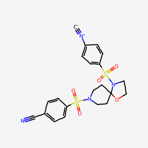 [C-]#[N+]c1ccc(S(=O)(=O)N2CCOC23CCN(S(=O)(=O)c2ccc(C#N)cc2)CC3)cc1